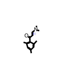 Cc1cc(C)c(C(=O)/C=C/N(C)C)c(C)c1